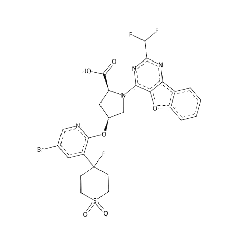 O=C(O)[C@@H]1C[C@H](Oc2ncc(Br)cc2C2(F)CCS(=O)(=O)CC2)CN1c1nc(C(F)F)nc2c1oc1ccccc12